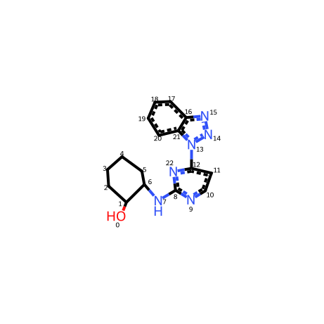 OC1CCCCC1Nc1nccc(-n2nnc3ccccc32)n1